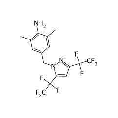 Cc1cc(Cn2nc(C(F)(F)C(F)(F)F)cc2C(F)(F)C(F)(F)F)cc(C)c1N